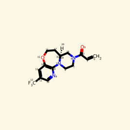 C=CC(=O)N1CCN2c3ncc(C(F)(F)F)cc3OCC[C@H]2C1